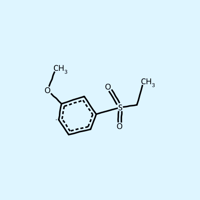 CCS(=O)(=O)c1cc[c]c(OC)c1